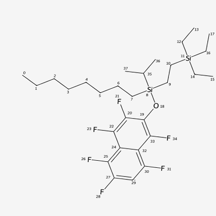 CCCCCCCC[Si](CC[Si](CC)(CC)CC)(Oc1c(F)c(F)c2c(F)c(F)[c]c(F)c2c1F)C(C)C